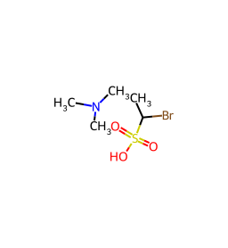 CC(Br)S(=O)(=O)O.CN(C)C